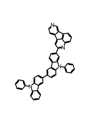 c1ccc(-n2c3ccccc3c3cc(-c4ccc5c(c4)c4ccc(-c6cc7c8c(cccc8n6)-c6cnccc6-7)cc4n5-c4ccccc4)ccc32)cc1